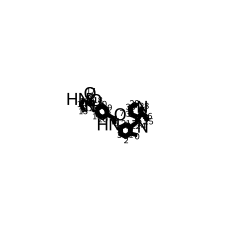 Cc1ccc(NC(=O)c2ccc(N3CCNS3(=O)=O)cc2)cc1-c1nccc2ncccc12